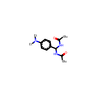 CCN(CC)c1ccc(C(NC(=O)C(C)(C)C)NC(=O)C(C)(C)C)cc1